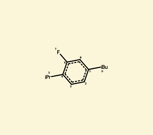 CCC(C)c1ccc(C(C)C)c(F)c1